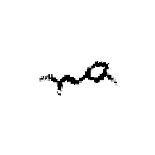 CNC(=O)/C=C/c1cccc(F)c1